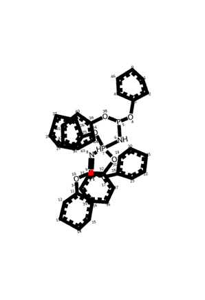 c1ccc(OP(N[PH](N=[PH](Oc2ccccc2)Oc2ccccc2)(Oc2ccccc2)Oc2ccccc2)Oc2ccccc2)cc1